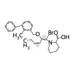 CC/C=C\C(OCc1cccc(-c2ccccc2)c1C)=C(\Br)N1CCCCC1C(=O)O